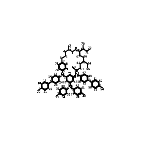 CCC(C)CCCc1ccc(N(c2ccc(-c3ccc(C)cc3)cc2)c2cc(N(c3ccc(C)cc3)c3ccc(C)cc3)cc(N(c3ccc(-c4ccc(C)cc4)cc3)C(C)CCC(CC)CCCC(C)CC)c2)cc1